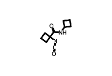 O=C=NC1(C(=O)NC2CCC2)CCC1